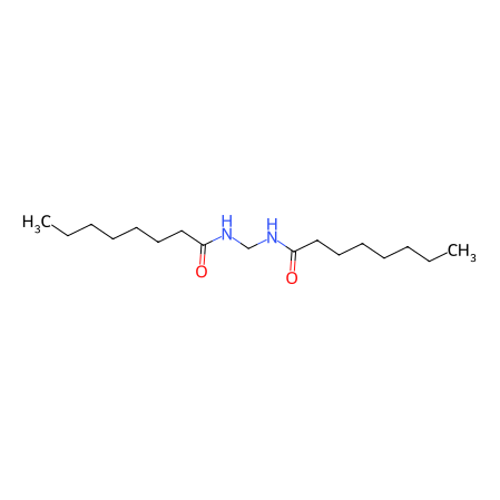 CCCCCCCC(=O)NCNC(=O)CCCCCCC